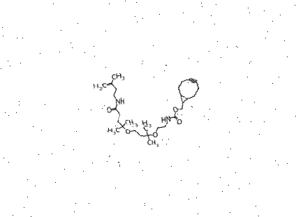 C=C(C)CCNC(=O)CCC(C)(C)OCCC(C)(C)OCCNC(=O)OCC1C2CCC#CCCC21